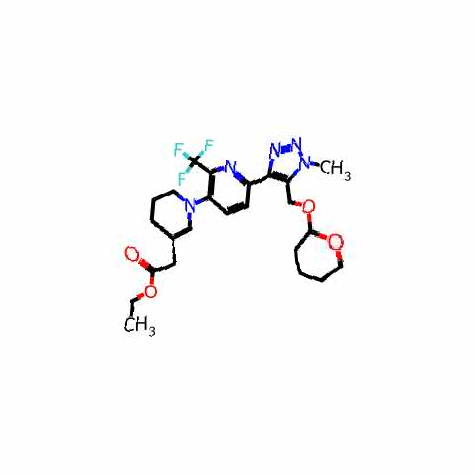 CCOC(=O)C[C@H]1CCCN(c2ccc(-c3nnn(C)c3COC3CCCCO3)nc2C(F)(F)F)C1